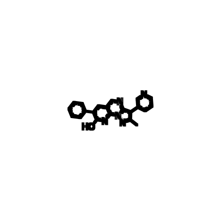 Cc1nn2c(ncc3cc(-c4ccccc4)c(O)nc32)c1-c1cccnc1